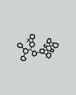 CC1(C)c2ccccc2-c2ccc(N(c3cccc(-c4ccc5c(c4)-c4ccccc4C54c5ccccc5C5(c6ccccc6-c6ccccc65)c5ccccc54)c3)c3cc(-c4ccccc4)cc(-c4ccccc4)c3)cc21